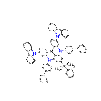 CC(C)(c1ccccc1)c1cc2c3c(c1)N(c1ccc(-c4ccccc4)cc1)c1cc(-n4c5ccccc5c5ccccc54)ccc1B3c1ccc(-n3c4ccccc4c4ccccc43)cc1N2c1ccc(-c2ccccc2)cc1